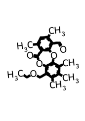 CCOCc1c(C)c(C)c(C)c2c1OC(=O)c1c(C)cc(C)c(C=O)c1O2